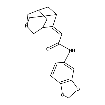 O=C(C=C1C2CC3CC1CN(C3)C2)Nc1ccc2c(c1)OCO2